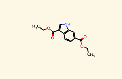 CCOC(=O)c1ccc2c(C(=O)OCC)c[nH]c2c1